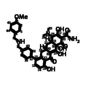 COc1ccc(CNCc2ccc(-c3ccc(O)c4c3C[C@@H]3C[C@@H]5[C@@H](N(C)C)C(O)=C(C(N)=O)C(=O)[C@@]5(O)C(O)=C3C4=O)cc2)cc1